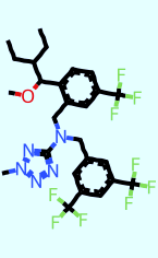 CCC(CC)C(OC)c1ccc(C(F)(F)F)cc1CN(Cc1cc(C(F)(F)F)cc(C(F)(F)F)c1)c1nnn(C)n1